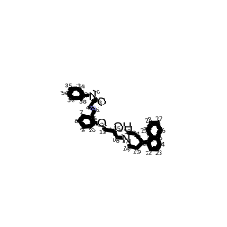 CN(C(=O)/C=C/c1ccccc1OCC(O)CN1CCC(c2cccc3ccccc23)CC1)c1ccccc1